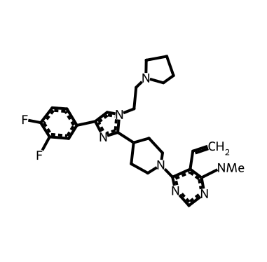 C=Cc1c(NC)ncnc1N1CCC(c2nc(-c3ccc(F)c(F)c3)cn2CCN2CCCC2)CC1